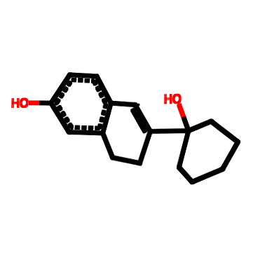 Oc1ccc2c(c1)CCC(C1(O)CCCCC1)=[C]2